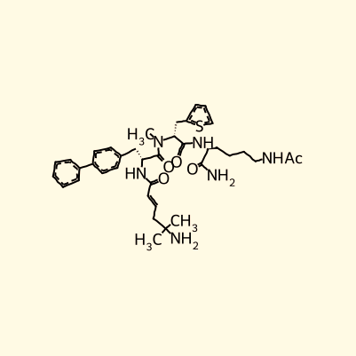 CC(=O)NCCCC[C@H](NC(=O)[C@@H](Cc1cccs1)N(C)C(=O)[C@@H](Cc1ccc(-c2ccccc2)cc1)NC(=O)C=CCC(C)(C)N)C(N)=O